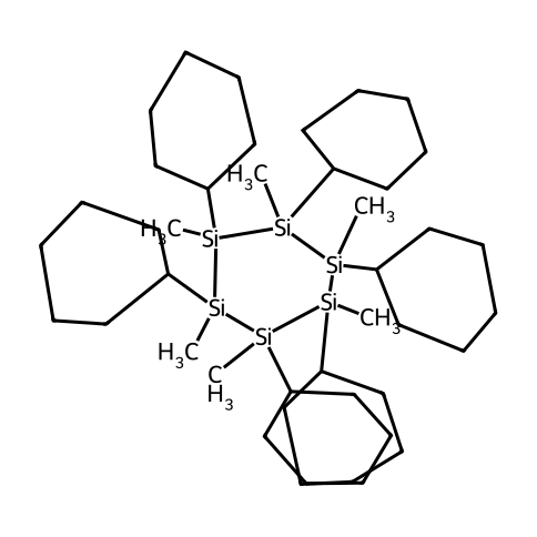 C[Si]1(C2CCCCC2)[Si](C)(C2CCCCC2)[Si](C)(C2CCCCC2)[Si](C)(C2CCCCC2)[Si](C)(C2CCCCC2)[Si]1(C)C1CCCCC1